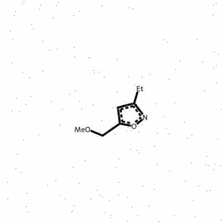 CCc1cc(COC)on1